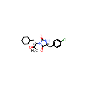 CC(=O)[C@H](CC1CCCCC1)N1C(=O)N[C@@H](Cc2ccc(Cl)cc2)C1=O